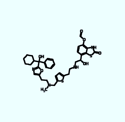 CN(CCc1cnc(C(O)(c2ccccc2)C2CCCCC2)o1)Cc1ccc(CCNC[C@H](O)c2ccc(OC=O)c3[nH]c(=O)sc23)s1